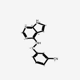 N#Cc1cccc(SNc2ncnc3[nH]ccc23)c1